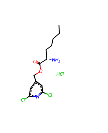 CCCCC[C@H](N)C(=O)OCc1cc(Cl)nc(Cl)c1.Cl